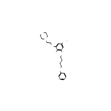 COc1cc(OCCCCOc2ccccc2)c(C(C)=O)c(OCCN2CCOCC2)c1